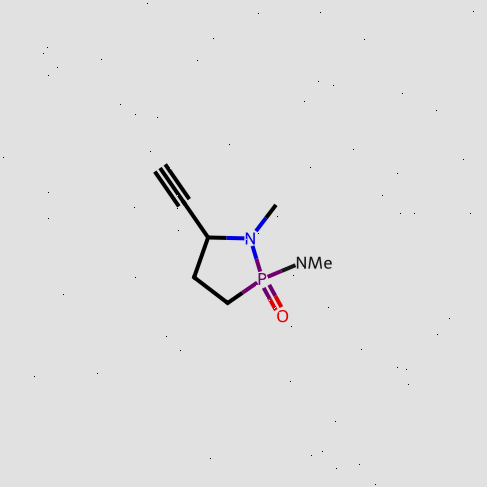 C#CC1CCP(=O)(NC)N1C